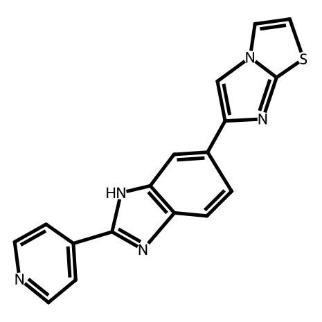 c1cc(-c2nc3ccc(-c4cn5ccsc5n4)cc3[nH]2)ccn1